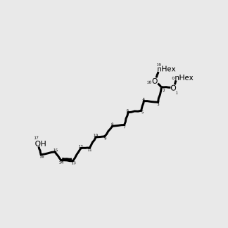 CCCCCCOC(CCCCCCCCCC/C=C\CCO)OCCCCCC